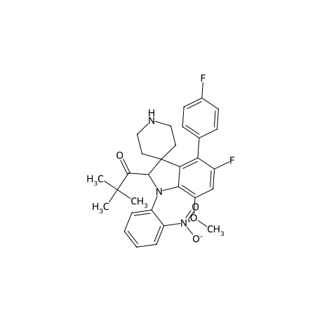 COc1cc(F)c(-c2ccc(F)cc2)c2c1N(c1ccccc1[N+](=O)[O-])C(C(=O)C(C)(C)C)C21CCNCC1